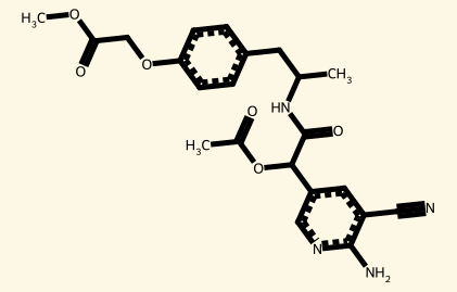 COC(=O)COc1ccc(CC(C)NC(=O)C(OC(C)=O)c2cnc(N)c(C#N)c2)cc1